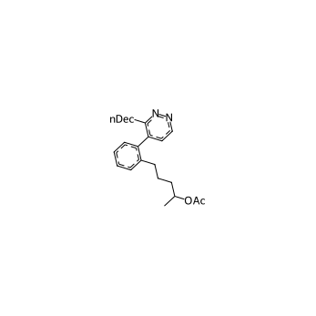 CCCCCCCCCCc1nnccc1-c1ccccc1CCCC(C)OC(C)=O